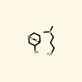 CN(C)CCCN.OC1CN2CCC1CC2